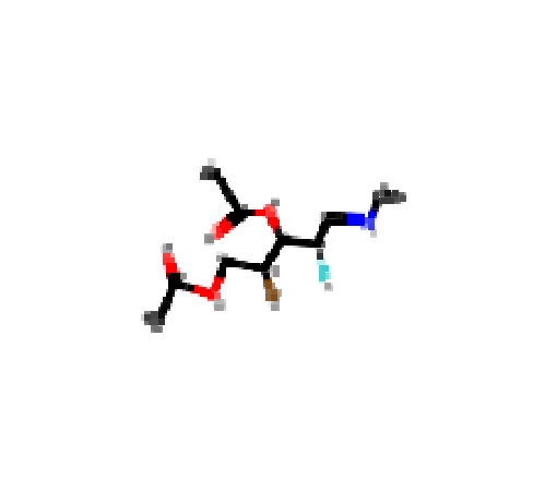 CON=C[C@H](F)[C@H](OC(=O)C(C)(C)C)[C@@H](Br)COC(=O)C(C)(C)C